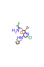 C[C@H](F)[C@H](N)Cc1oc2c(NCc3cccs3)cc(Cl)nc2c1C1CC1